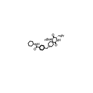 CCCCN1C(=O)[C@H](CC(C)C)NC(=O)C12CCN(Cc1ccc(C(=O)NC3CCCCC3)cc1)CC2